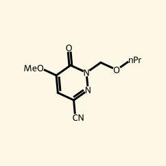 CCCOCn1nc(C#N)cc(OC)c1=O